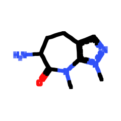 CN1C(=O)C(N)CCc2cnn(C)c21